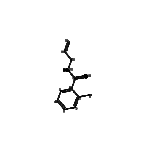 [CH2]c1ccccc1C(=O)NCC=C